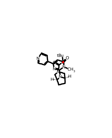 Cn1c(N2[C@@H]3CC[C@H]2CN(C(=O)OC(C)(C)C)C3)nc(-c2ccncc2)cc1=O